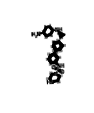 N[C@H]1CC[C@H](N[C@H]2C[C@@H]2c2ccc(-c3cccc(NS(=O)(=O)N4CCNCC4)c3)cc2)CC1